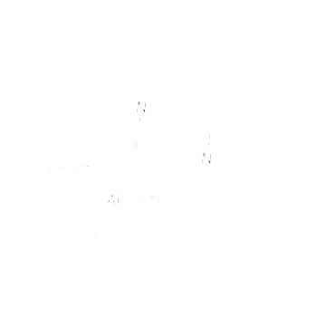 CN1CCN(C)CC1.C[CH2][Al]([CH2]C)[CH2]C